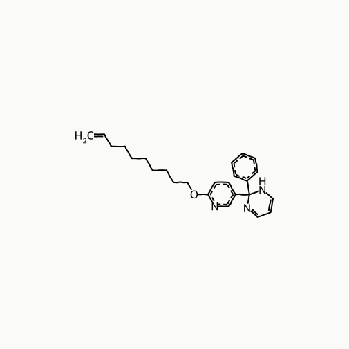 C=CCCCCCCCCOc1ccc(C2(c3ccccc3)N=CC=CN2)cn1